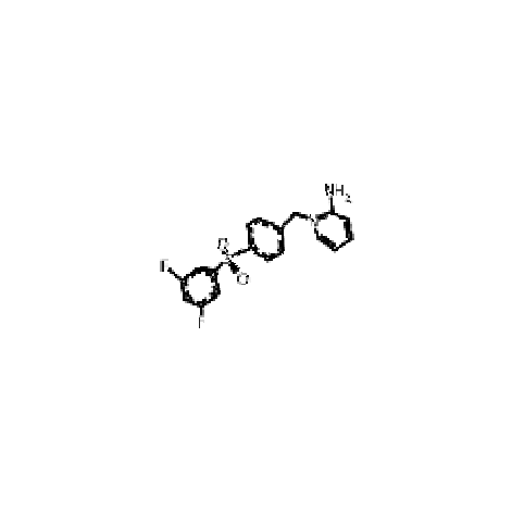 NC1C=CC=CN1Cc1ccc(S(=O)(=O)c2cc(F)cc(F)c2)cc1